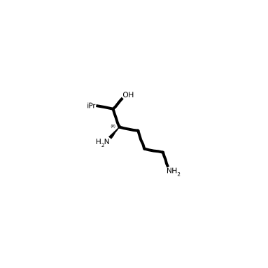 CC(C)C(O)[C@H](N)CCCN